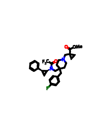 COC(=O)C1(CN2CCC(Cc3ccc(F)cc3)(CN(C(=O)C(F)(F)F)[C@@H]3C[C@H]3c3ccccc3)CC2)CC1